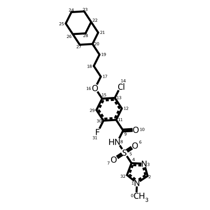 Cn1cnc(S(=O)(=O)NC(=O)c2cc(Cl)c(OCCCC3CC4CCCC(C3)C4)cc2F)c1